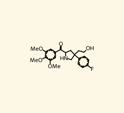 COc1cc(C(=O)C2CC(CCO)(c3ccc(F)cc3)CN2)cc(OC)c1OC